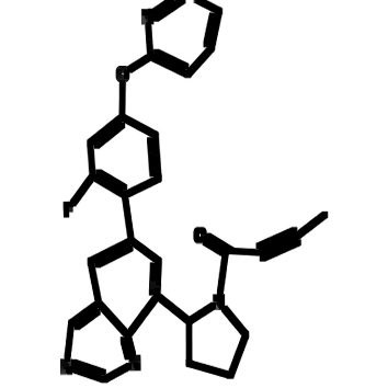 CC#CC(=O)N1CCCC1c1cc(-c2ccc(Oc3ccccn3)cc2F)cc2cncnc12